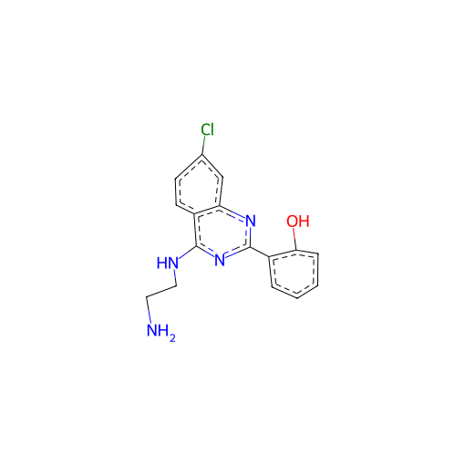 NCCNc1nc(-c2ccccc2O)nc2cc(Cl)ccc12